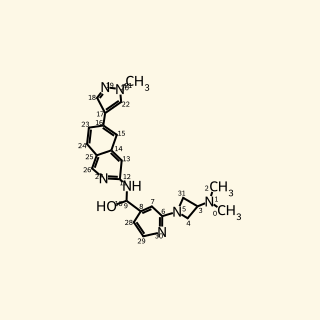 CN(C)C1CN(c2cc(C(O)Nc3cc4cc(-c5cnn(C)c5)ccc4cn3)ccn2)C1